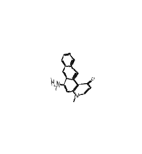 Cn1ccc(=O)c2c3cc4ccccc4cc3c(N)cc21